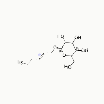 OCC1O[C@@H](OC/C=C/CCS)C(O)C(O)[C@H]1O